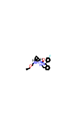 C#CCOCCN[C@H]1C[C@@H](NC(=O)N2CCc3ccccc3[C@@H]2c2ccc(F)cc2)C2CC1C2